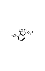 O=C(O)c1c[c]cc(O)c1C(=O)O